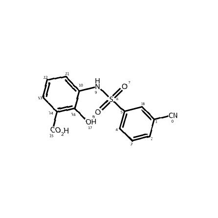 N#Cc1cccc(S(=O)(=O)Nc2cccc(C(=O)O)c2O)c1